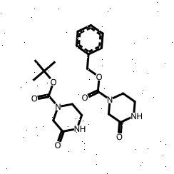 CC(C)(C)OC(=O)N1CCNC(=O)C1.O=C1CN(C(=O)OCc2ccccc2)CCN1